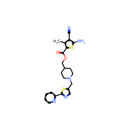 Cc1c(C(=O)OCC2CCN(Cc3cnc(-c4ccccn4)s3)CC2)sc(N)c1C#N